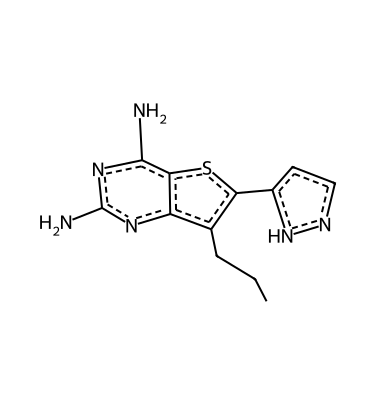 CCCc1c(-c2ccn[nH]2)sc2c(N)nc(N)nc12